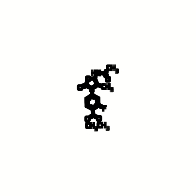 COC(OC)c1ccc(N2C(=O)O[C@H](NC(C)=O)C2C)cc1F